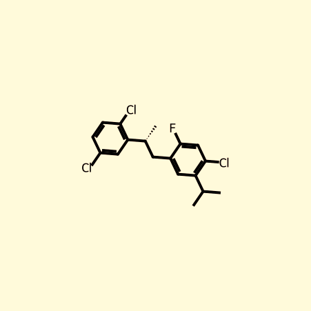 CC(C)c1cc(C[C@@H](C)c2cc(Cl)ccc2Cl)c(F)cc1Cl